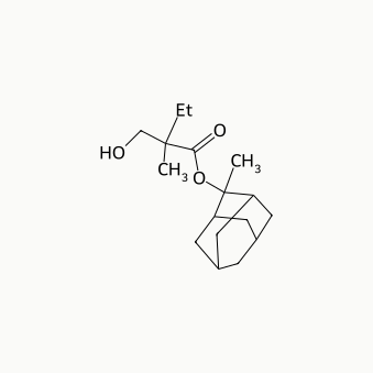 CCC(C)(CO)C(=O)OC1(C)C2CC3CC(C2)CC1C3